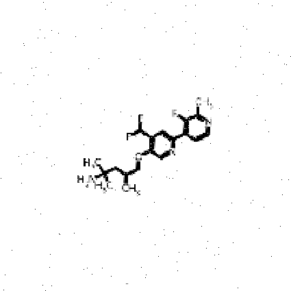 Cc1nccc(-c2cc(C(F)F)c(OCC(C)CC(C)(C)N)cn2)c1F